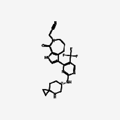 N#CCN1CCCc2c(-c3nc(N[C@H]4CCC5(CC5)NC4)ncc3C(F)(F)F)c[nH]c2C1=O